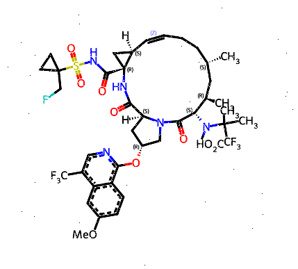 COc1ccc2c(O[C@@H]3C[C@H]4C(=O)N[C@]5(C(=O)NS(=O)(=O)C6(CF)CC6)C[C@H]5/C=C\CC[C@H](C)C[C@@H](C)[C@H](N(C(=O)O)C(C)(C)C(F)(F)F)C(=O)N4C3)ncc(C(F)(F)F)c2c1